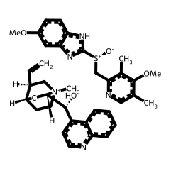 C=C[C@H]1C[N+]2(C)CC[C@H]1C[C@H]2[C@H](O)c1ccnc2ccccc12.COc1ccc2[nH]c([S@@+]([O-])Cc3ncc(C)c(OC)c3C)nc2c1